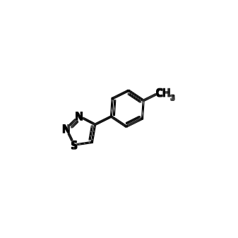 Cc1ccc(-c2csnn2)cc1